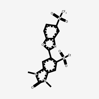 CCS(=O)(=O)c1cc2c(cc1-c1nc3cc(S(=O)(=O)C(F)(F)F)ccc3o1)n(C)c(=O)n2C